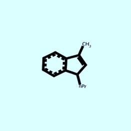 CCC[C]1C=C(C)c2ccccc21